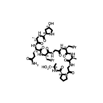 CC(C)C[C@H](NC(=O)CNC(=O)[C@H](CC(C)C)NC(=O)[C@H](CCC(N)=O)NC(=O)[C@H](C)NC(=O)[C@H]1C[C@H](O)CN1)C(=O)N[C@@H](C)C(=O)NCC(=O)N1CCC[C@H]1C(=O)N[C@@H](C)C(=O)O